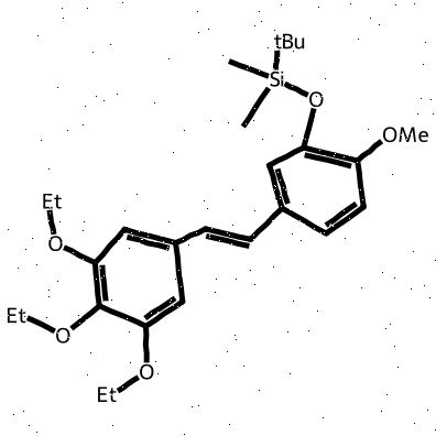 CCOc1cc(/C=C/c2ccc(OC)c(O[Si](C)(C)C(C)(C)C)c2)cc(OCC)c1OCC